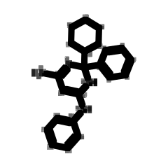 NC1=NC(c2ccccc2)(C2CCCCC2)NC(Nc2ccccc2)=C1